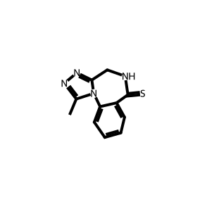 Cc1nnc2n1-c1ccccc1C(=S)NC2